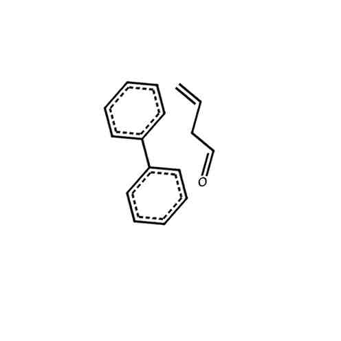 C=CCC=O.c1ccc(-c2ccccc2)cc1